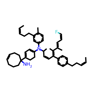 C/C=C\CCc1ccc(C(/C=C\C(C)N(C2=CC=C(C3(N)CC/C=C\CCC3)CC2)c2ccc(C)c(CC/C=C\C)c2)=C(C)\C(C)=C\C=C/F)cc1